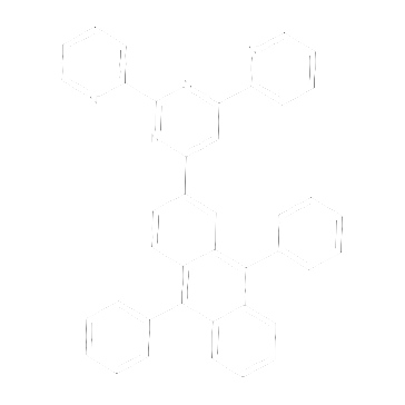 c1ccc(-c2c3ccccc3c(-c3ccccc3)c3cc(-c4cc(-c5ccccn5)nc(-c5ccccn5)n4)ccc23)cc1